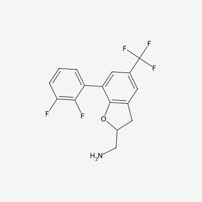 NCC1Cc2cc(C(F)(F)F)cc(-c3cccc(F)c3F)c2O1